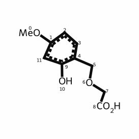 COc1ccc(COCC(=O)O)c(O)c1